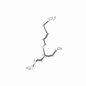 CCCCCCCCOC[C@H](CO)OCCCCC(=O)O